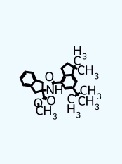 COC(=O)C1(NC(=O)c2cc(C(C)(C)C)cc3c2CCC3(C)C)Cc2ccccc2C1